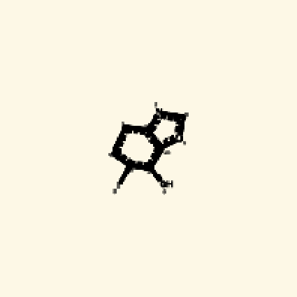 Oc1c(I)ccc2ncoc12